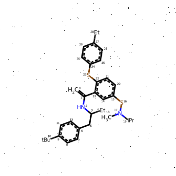 C=C(NC(CC)Cc1ccc(C(C)(C)C)cc1)c1cc(SN(C)C(C)C)ccc1Sc1ccc(CC)cc1